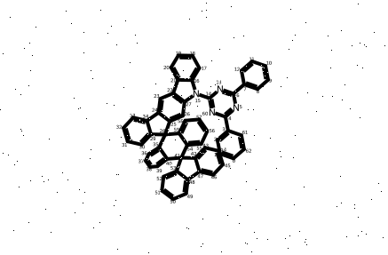 c1ccc(-c2nc(-c3ccccc3)nc(-n3c4ccccc4c4cc5c(cc43)C3(c4ccccc4-5)c4ccccc4C4(c5ccccc5-c5ccccc54)c4ccccc43)n2)cc1